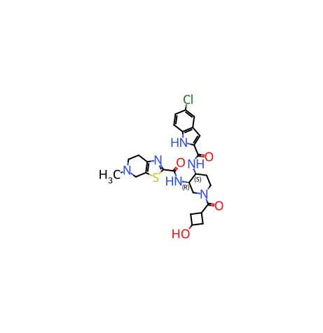 CN1CCc2nc(C(=O)N[C@@H]3CN(C(=O)C4CC(O)C4)CC[C@@H]3NC(=O)c3cc4cc(Cl)ccc4[nH]3)sc2C1